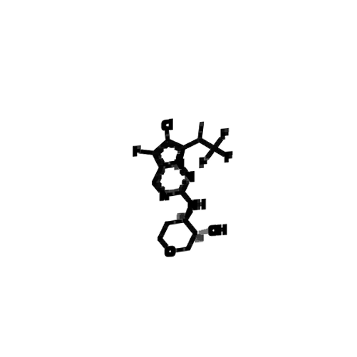 CC(c1c(Cl)c(F)c2cnc(N[C@@H]3CCOC[C@H]3O)nn12)C(F)(F)F